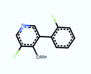 COc1c(F)cncc1-c1ccccc1F